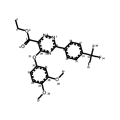 CCOC(=O)c1nnc(-c2ccc(C(F)(F)F)cc2)nc1Oc1ccc(OC)c(OC)c1